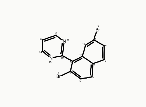 Brc1ccc2ccc(Br)c(-c3ncccn3)c2c1